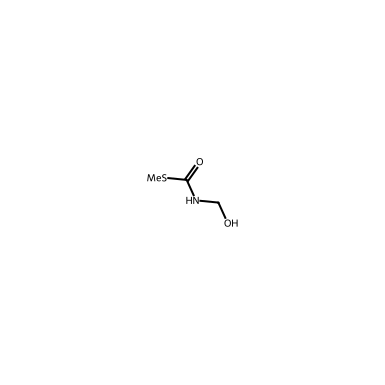 CSC(=O)NCO